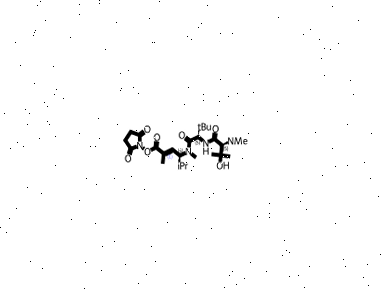 CN[C@H](C(=O)N[C@H](C(=O)N(C)[C@H](/C=C(\C)C(=O)ON1C(=O)CCC1=O)C(C)C)C(C)(C)C)C(C)(C)O